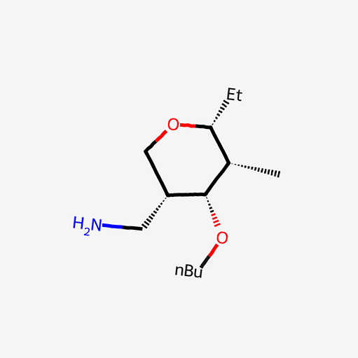 CCCCO[C@@H]1[C@H](CN)CO[C@H](CC)[C@@H]1C